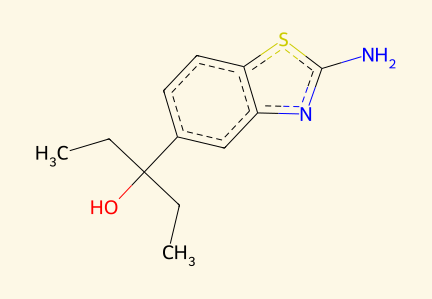 CCC(O)(CC)c1ccc2sc(N)nc2c1